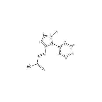 Cn1ncc(C=CC(=O)O)c1-c1cccnc1